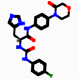 O=C(Nc1ccc(F)cc1)N[C@H](Cc1cnc[nH]1)C(=O)Nc1ccc(N2CCOCC2=O)cc1